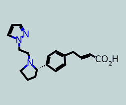 O=C(O)/C=C/Cc1ccc([C@@H]2CCCN2CCn2cccn2)cc1